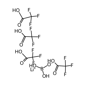 O=C(O)C(F)(F)F.O=C(O)C(F)(F)F.O=C(O)C(F)(F)F.O=C(O)C(F)(F)F.[Li+].[O-]B(O)O